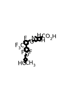 CC1(O)CC(COc2c(F)cc(-c3cc(COc4cc5c(cn4)[C@H]4[C@@H](C5)[C@@H]4C(=O)O)c(F)cc3C(F)(F)F)cc2F)C1